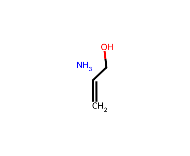 C=CCO.N